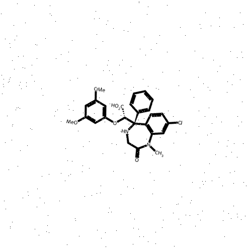 COc1cc(OC)cc(O[C@H](C(=O)O)[C@@]2(c3ccccc3)NCC(=O)N(C)c3cc(Cl)ccc32)c1